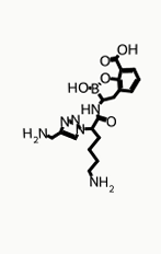 NCCCCC(C(=O)NC1Cc2cccc(C(=O)O)c2OB1O)n1cc(CN)nn1